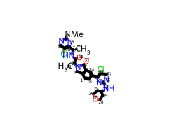 CNc1ncc(Cl)c([C@@H](C)NC(=O)[C@@H](C)N2Cc3ccc(-c4nc(NC5CCOCC5)ncc4Cl)cc3C2=O)n1